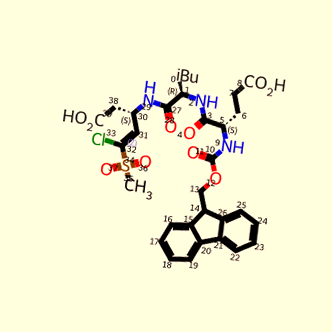 CCC(C)[C@@H](NC(=O)[C@H](CCC(=O)O)NC(=O)OCC1c2ccccc2-c2ccccc21)C(=O)N[C@H](/C=C(\Cl)S(C)(=O)=O)CC(=O)O